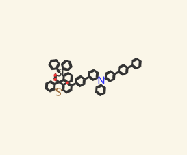 c1ccc(-c2ccc(-c3ccc(N(c4ccccc4)c4cccc(-c5ccc(-c6ccc7c(c6)C6(c8ccccc8S7)c7ccccc7[Si](c7ccccc7)(c7ccccc7)c7ccccc76)cc5)c4)cc3)cc2)cc1